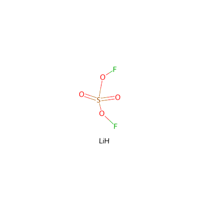 O=S(=O)(OF)OF.[LiH]